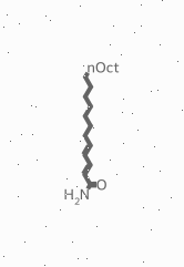 CCCCCCCCCCCCCCC/C=C/C=CC(N)=O